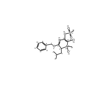 CC(C)CC1C(OCc2ccccc2)=NC(OS(C)(=O)=O)=C(Cl)[N+]1(C)[O-]